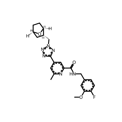 COc1cc(CNC(=O)c2cc(-c3nnn(C[C@@H]4C[C@H]5CC[C@@H]4O5)n3)cc(C)n2)ccc1F